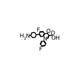 NC1CCC(c2cc3c(cc2F)c(=O)c(C(=O)O)cn3-c2ccc(F)cc2)CC1